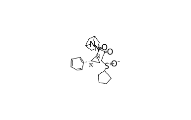 O=C(C[S+]([O-])C1CCCC1)N1CC2CC(C1)N2C(=O)[C@H]1C[C@@H]1c1ccccc1